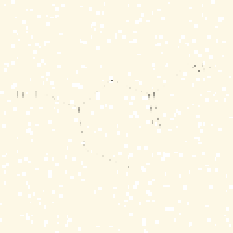 CCCC(CBr)CC(=O)OC